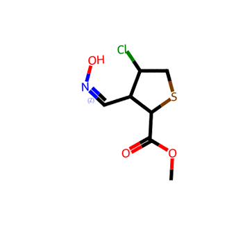 COC(=O)C1SCC(Cl)C1/C=N\O